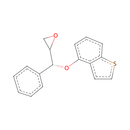 c1ccc([C@@H](Oc2cccc3sccc23)C2CO2)cc1